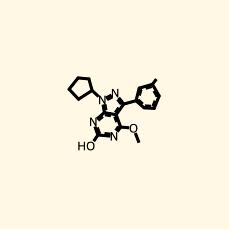 COc1nc(O)nc2c1c(-c1cccc(C)c1)nn2C1CCCC1